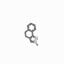 Cn1cc2c(n1)-c1ccccc1CC2